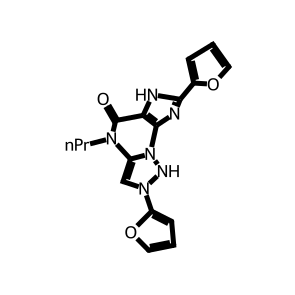 CCCN1C(=O)c2[nH]c(-c3ccco3)nc2N2NN(c3ccco3)C=C12